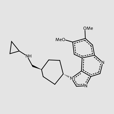 COc1cc2ncc3ncn([C@H]4CC[C@H](CNC5CC5)CC4)c3c2cc1OC